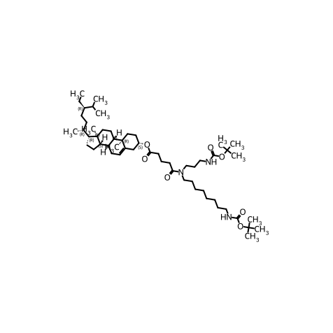 CC[C@H](CC[C@@H](C)[C@H]1CC[C@H]2[C@@H]3CC=C4C[C@@H](OC(=O)CCCC(=O)N(CCCCCCCCNC(=O)OC(C)(C)C)CCCNC(=O)OC(C)(C)C)CC[C@]4(C)[C@H]3CC[C@]12C)C(C)C